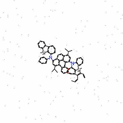 C=CC1=C(/C=C\C)c2cccc(N(c3ccccc3)c3cc(C(C)C)c4ccc5c(N(c6ccccc6)c6cccc7c6[Si](C)(C)c6ccccc6-7)cc(C(C)C)c6c7ccccc7c3c4c56)c2[Si]1(C)C